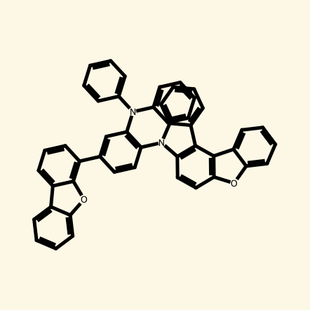 c1ccc(N(c2ccccc2)c2cc(-c3cccc4c3oc3ccccc34)ccc2-n2c3ccccc3c3c4c(ccc32)oc2ccccc24)cc1